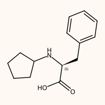 O=C(O)[C@H](Cc1ccccc1)NC1CCCC1